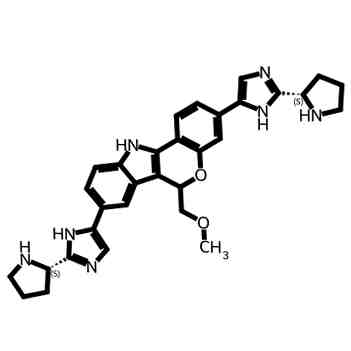 COCC1Oc2cc(-c3cnc([C@@H]4CCCN4)[nH]3)ccc2-c2[nH]c3ccc(-c4cnc([C@@H]5CCCN5)[nH]4)cc3c21